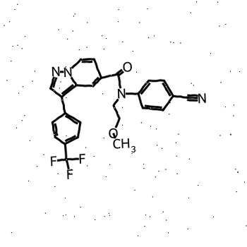 COCCN(C(=O)c1ccn2ncc(-c3ccc(C(F)(F)F)cc3)c2c1)c1ccc(C#N)cc1